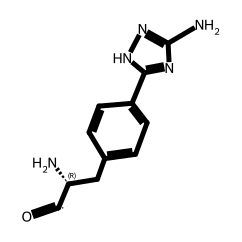 Nc1n[nH]c(-c2ccc(C[C@@H](N)[C]=O)cc2)n1